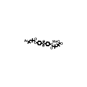 COC(=O)C(C)(C)CC(C)(C)C(=O)Oc1ccc(S(=O)(=O)c2ccc(OC(=O)C(C)(C)CC(C)(C)C(C)=O)cc2)cc1